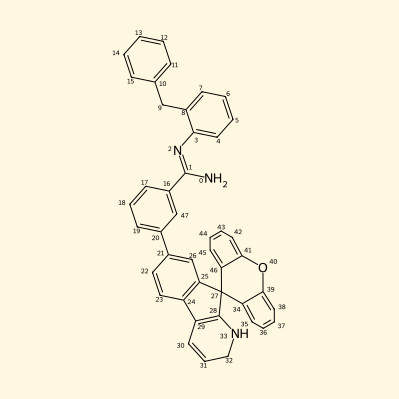 N/C(=N\c1ccccc1Cc1ccccc1)c1cccc(-c2ccc3c(c2)C2(C4=C3C=CCN4)c3ccccc3Oc3ccccc32)c1